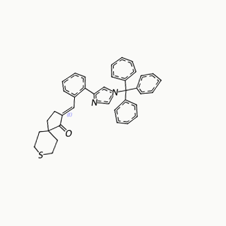 O=C1/C(=C/c2ccccc2-c2cn(C(c3ccccc3)(c3ccccc3)c3ccccc3)cn2)CCC12CCSCC2